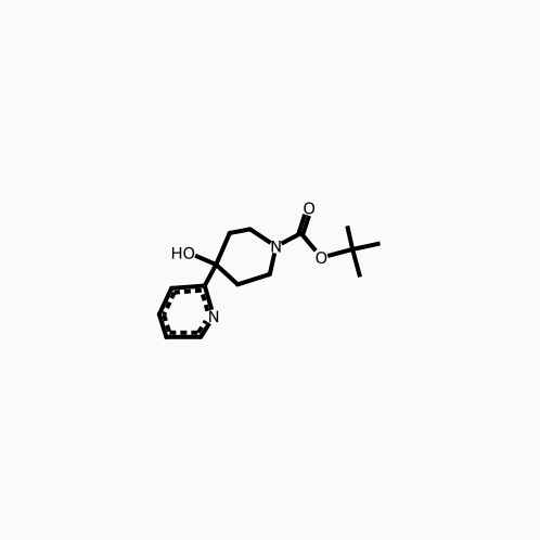 CC(C)(C)OC(=O)N1CCC(O)(c2ccccn2)CC1